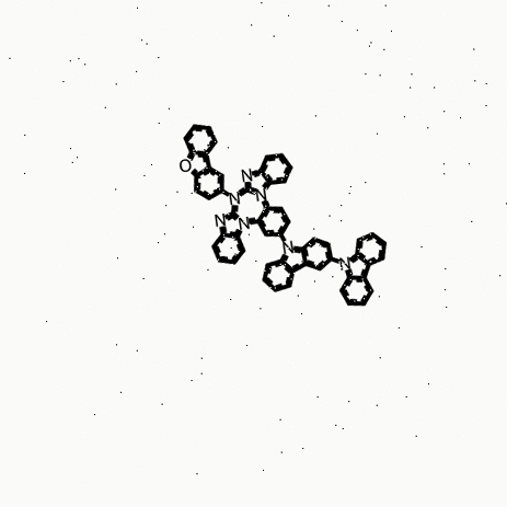 c1ccc2c(c1)nc1n(-c3ccc4oc5ccccc5c4c3)c3nc4ccccc4n3c3cc(-n4c5ccccc5c5cc(-n6c7ccccc7c7ccccc76)ccc54)ccc3n21